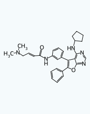 CN(C)C/C=C/C(=O)Nc1cccc(-c2c(-c3ccccc3)oc3ncnc(NC4CCCC4)c23)c1